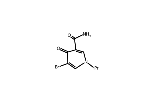 CC(C)n1cc(Br)c(=O)c(C(N)=O)c1